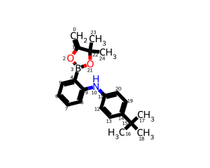 C=C1OB(c2ccccc2Nc2ccc(C(C)(C)C)cc2)OC1(C)C